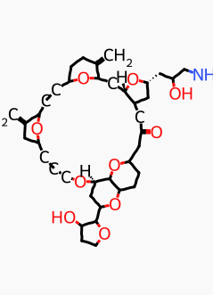 C=C1CC2CCCO[C@@H]3CC(C4OCCC4O)OC4CCC(CC(=O)CC5C[C@@H](CC(O)CN)O[C@H]5CC5OC(CCC5=C)CCC1O2)OC43